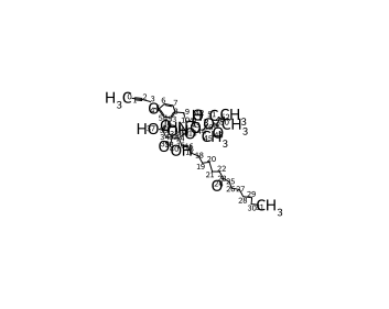 CC#CCOc1ccc(C[C@H](NC(=O)C(/C=C/CCCCCCC(=O)CCCCCCC)[C@@](O)(CC(=O)O)C(=O)O)C(=O)O[C@@H](C)OC(=O)C(C)(C)C)cc1